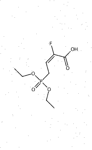 CCOP(=O)(C/C=C(/F)C(=O)O)OCC